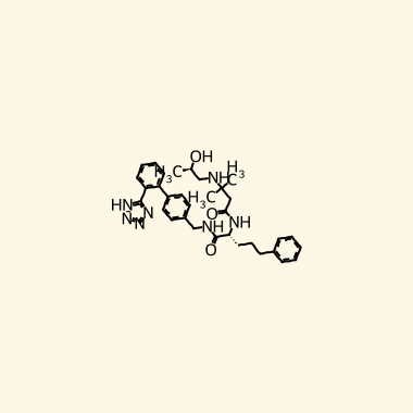 C[C@@H](O)CNC(C)(C)CC(=O)N[C@H](CCCc1ccccc1)C(=O)NCc1ccc(-c2ccccc2-c2nnn[nH]2)cc1